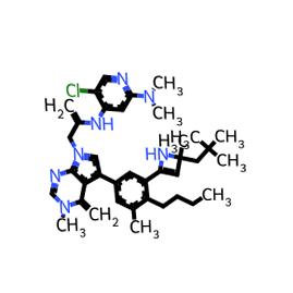 C=C(Cn1cc(-c2cc(C)c(CCCC)c(C3=CC(C)(CC(C)(C)C)N3)c2)c2c1N=CN(C)C2=C)Nc1cc(N(C)C)ncc1Cl